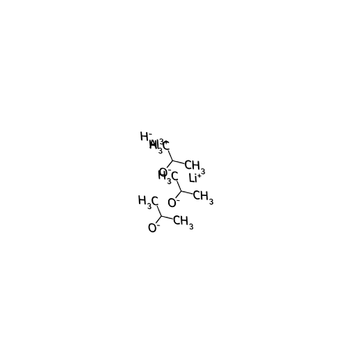 CC(C)[O-].CC(C)[O-].CC(C)[O-].[Al+3].[H-].[Li+]